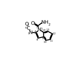 NC(=O)n1c(N=C=O)cc2ccccc21